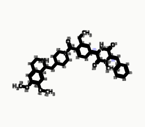 CCC1=C/C(=c2\[nH]c(=O)/c(=C/c3ccccc3)n(C)c2=O)CC=C1C(=O)N1CCC(CC2NCCc3cc(OC)c(OC)cc32)CC1